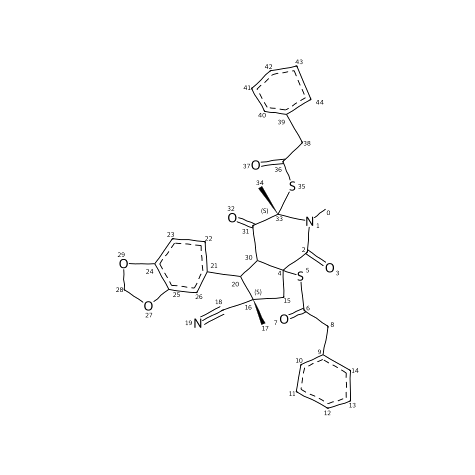 CN1C(=O)C2(SC(=O)Cc3ccccc3)C[C@](C)(C#N)C(c3ccc4c(c3)OCO4)C2C(=O)[C@]1(C)SC(=O)Cc1ccccc1